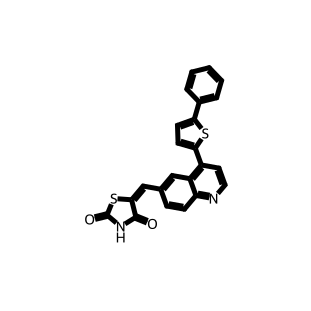 O=C1NC(=O)/C(=C\c2ccc3nccc(-c4ccc(-c5ccccc5)s4)c3c2)S1